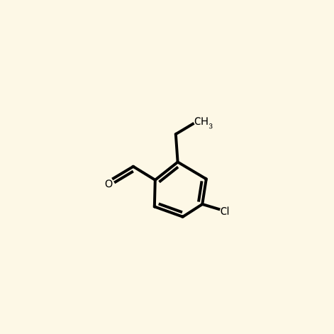 CCc1cc(Cl)ccc1C=O